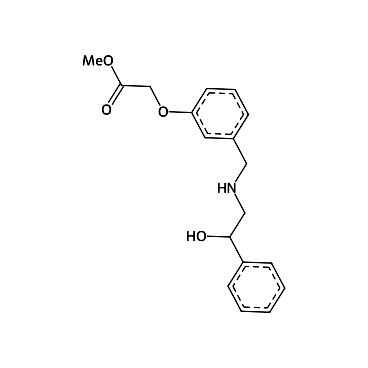 COC(=O)COc1cccc(CNCC(O)c2ccccc2)c1